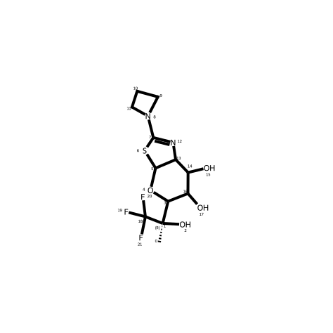 C[C@@](O)(C1OC2SC(N3CCC3)=NC2C(O)C1O)C(F)(F)F